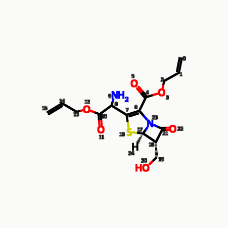 C=CCOC(=O)C1=C(C(N)C(=O)OCC=C)S[C@@H]2[C@@H](CO)C(=O)N12